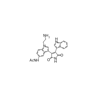 CC(=O)Nc1ccc2c(c1)c(C1=C(c3c[nH]c4ccccc34)C(=O)NC1=O)cn2CCN